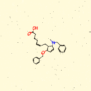 CN(Cc1ccccc1)[C@@H]1C=C[C@@H](OCc2ccccc2)[C@H]1C/C=C\CCCC(=O)O